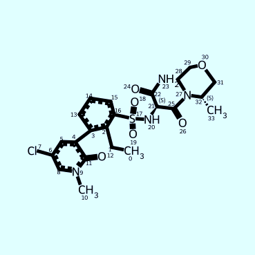 CCc1c(-c2cc(Cl)cn(C)c2=O)cccc1S(=O)(=O)N[C@@H](C(N)=O)C(=O)N1CCOC[C@@H]1C